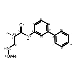 CONC[C@H](C)C(=O)Nc1cccc(-c2ccccc2)c1